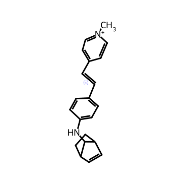 C[n+]1ccc(/C=C/c2ccc(NC3C4C=CC3CC4)cc2)cc1